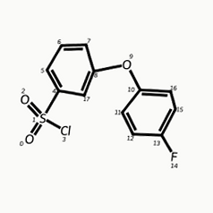 O=S(=O)(Cl)c1cccc(Oc2ccc(F)cc2)c1